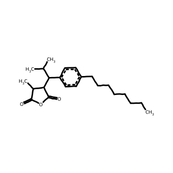 CCCCCCCCc1ccc(C(C(C)C)C2C(=O)OC(=O)C2C)cc1